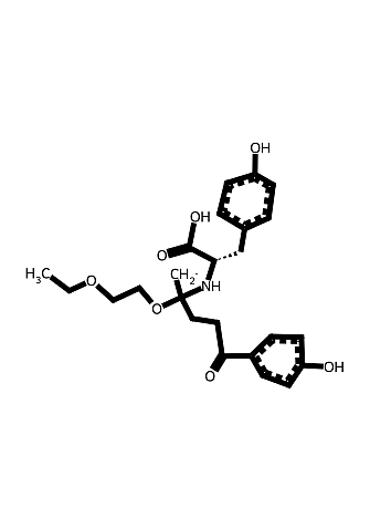 [CH2]C(CCC(=O)c1ccc(O)cc1)(N[C@@H](Cc1ccc(O)cc1)C(=O)O)OCCOCC